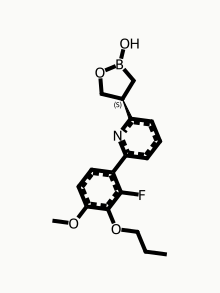 CCCOc1c(OC)ccc(-c2cccc([C@H]3COB(O)C3)n2)c1F